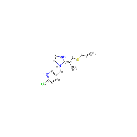 C=CCSC/C(=C1\NCCN1Cc1ccc(Cl)nc1)[N+](=O)[O-]